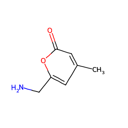 Cc1cc(CN)oc(=O)c1